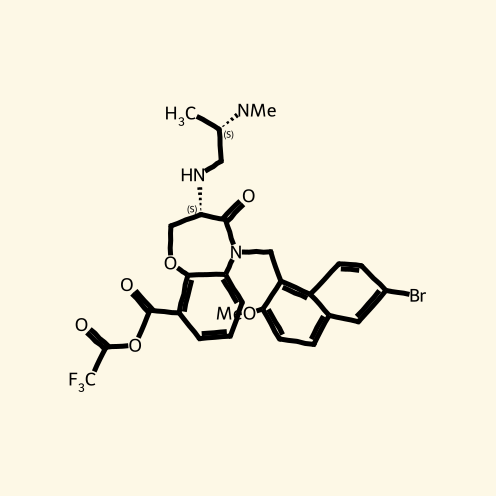 CN[C@@H](C)CN[C@H]1COc2c(C(=O)OC(=O)C(F)(F)F)cccc2N(Cc2c(OC)ccc3cc(Br)ccc23)C1=O